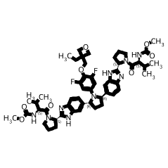 CCC1(COc2c(F)cc(N3[C@@H](c4ccc5nc([C@@H]6CCCN6C(=O)[C@@H](NC(=O)OC)C(C)C)[nH]c5c4)CC[C@@H]3c3ccc4nc([C@@H]5CCCN5C(=O)[C@@H](NC(=O)OC)C(C)C)[nH]c4c3)cc2F)COC1